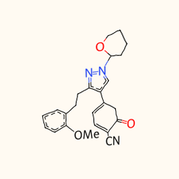 COc1ccccc1CCc1nn(C2CCCCO2)cc1C1=CC=C(C#N)C(=O)C1